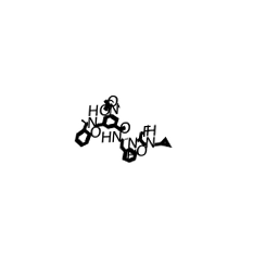 C[C@@H](NC(=O)c1cc(C(=O)N[C@H](CNC(CF)C(=O)NCC2CC2)Cc2ccccc2)cc(N(C)S(C)(=O)=O)c1)c1ccccc1